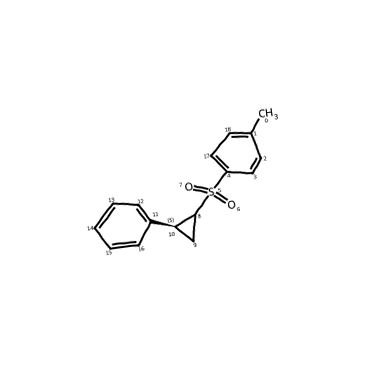 Cc1ccc(S(=O)(=O)C2C[C@H]2c2ccccc2)cc1